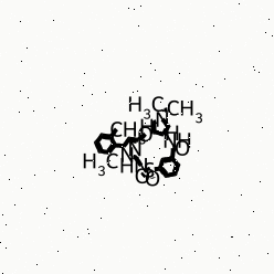 Cc1cccc(C)c1-c1cc2nc(n1)NS(=O)(=O)c1cccc(c1)C(=O)N[C@@H]1CN(C(C)C)C[C@H]1O2